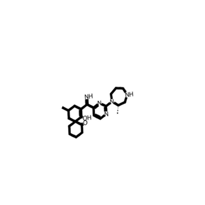 CC1CC(C(=N)c2ccnc(N3CCCNC[C@@H]3C)n2)=C(O)C2(CCCCC2=O)C1